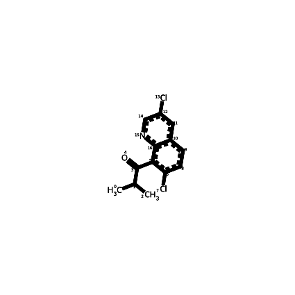 CC(C)C(=O)c1c(Cl)ccc2cc(Cl)cnc12